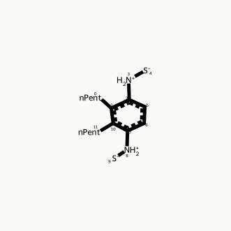 CCCCCc1c([NH2+][S-])ccc([NH2+][S-])c1CCCCC